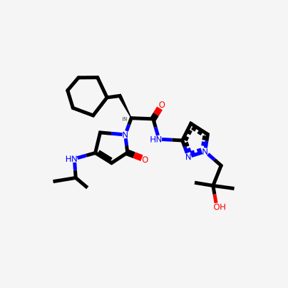 CC(C)NC1=CC(=O)N([C@@H](CC2CCCCC2)C(=O)Nc2ccn(CC(C)(C)O)n2)C1